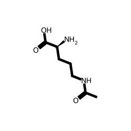 CC(=O)NCCC[C@H](N)C(=O)O